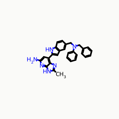 Cc1nc2c(-c3cc4cc(CN(Cc5ccccc5)c5ccccc5)ccc4[nH]3)cc(N)nc2[nH]1